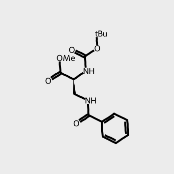 COC(=O)[C@H](CNC(=O)c1ccccc1)NC(=O)OC(C)(C)C